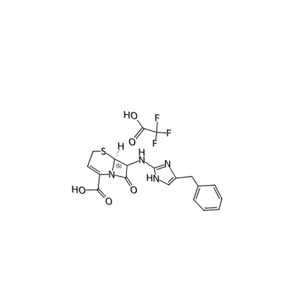 O=C(O)C(F)(F)F.O=C(O)C1=CCS[C@H]2C(Nc3nc(Cc4ccccc4)c[nH]3)C(=O)N12